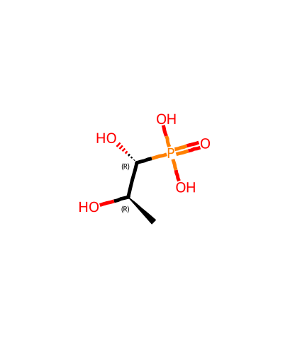 C[C@@H](O)[C@H](O)P(=O)(O)O